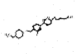 CCCCCc1ccc(-c2ccc(CC[C@H]3CC[C@H](CC)CC3)c(F)c2)nn1